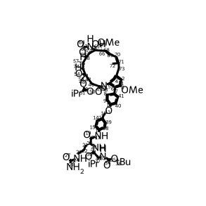 COc1cc2cc(c1-c1ccc(OCc3ccc(NC(=O)[C@H](CCCNC(N)=O)NC(=O)[C@@H](NC(=O)OC(C)(C)C)C(C)C)cc3)cc1)N(C)C(=O)C[C@H](OC(=O)C(C)C)[C@]1(C)O[C@H]1[C@H](C)[C@@H]1C[C@@](O)(NC(=O)O1)[C@H](OC)/C=C/C=C(\C)C2